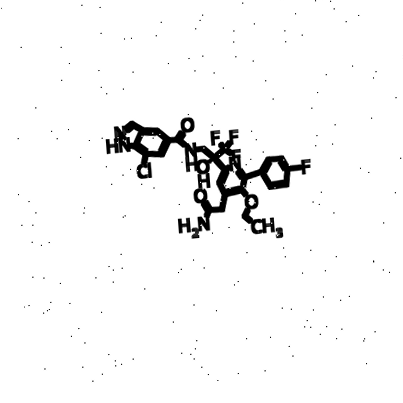 CCOc1c(CC(N)=O)cc([C@@](O)(CNC(=O)c2cc(Cl)c3[nH]ncc3c2)C(F)(F)F)nc1-c1ccc(F)cc1